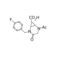 CC(=O)N1CC(=O)N(Cc2ccc(F)cc2)C2C(C(=O)O)C21